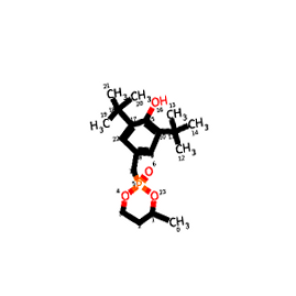 CC1CCOP(=O)(Cc2cc(C(C)(C)C)c(O)c(C(C)(C)C)c2)O1